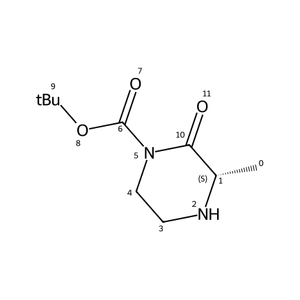 C[C@@H]1NCCN(C(=O)OC(C)(C)C)C1=O